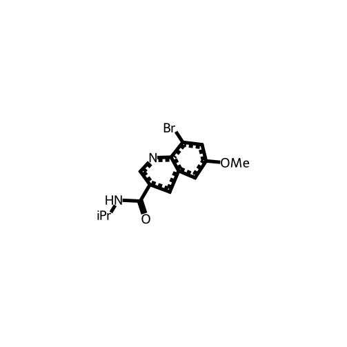 COc1cc(Br)c2ncc(C(=O)NC(C)C)cc2c1